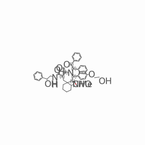 CNC1CCCCC12C[C@@H](C(=O)NCC(O)c1ccccc1)[C@@H]1C(=O)O[C@@H](c3ccccc3)[C@@H](c3ccccc3)N1[C@@H](c1ccc(OCCO)cc1)[C@H]2C=O